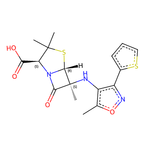 Cc1onc(-c2cccs2)c1N[C@@]1(C)C(=O)N2[C@@H](C(=O)O)C(C)(C)S[C@@H]21